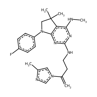 C=C(CCNc1nc(NC)c2c(n1)N(c1ccc(F)cc1)CC2(C)C)n1cnc(C)c1